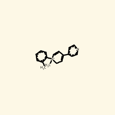 Cc1ccccc1[N+]1(C)C=CC(c2ccncc2)=CC1